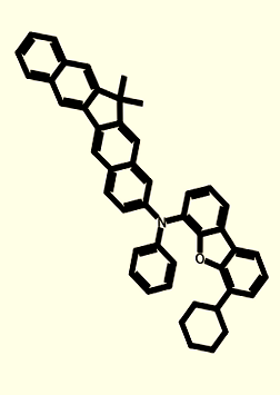 CC1(C)c2cc3ccccc3cc2-c2cc3ccc(N(c4ccccc4)c4cccc5c4oc4c(C6CCCCC6)cccc45)cc3cc21